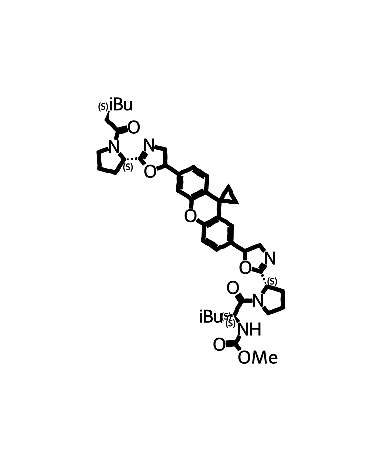 CC[C@H](C)CC(=O)N1CCC[C@H]1C1=NCC(c2ccc3c(c2)Oc2ccc(C4CN=C([C@@H]5CCCN5C(=O)[C@@H](NC(=O)OC)[C@@H](C)CC)O4)cc2C32CC2)O1